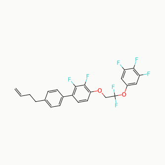 C=CCCc1ccc(-c2ccc(OCC(F)(F)Oc3cc(F)c(F)c(F)c3)c(F)c2F)cc1